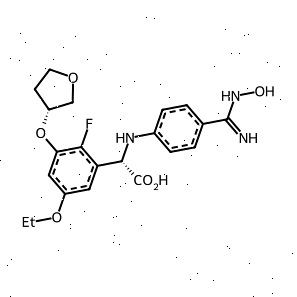 CCOc1cc(O[C@@H]2CCOC2)c(F)c([C@H](Nc2ccc(C(=N)NO)cc2)C(=O)O)c1